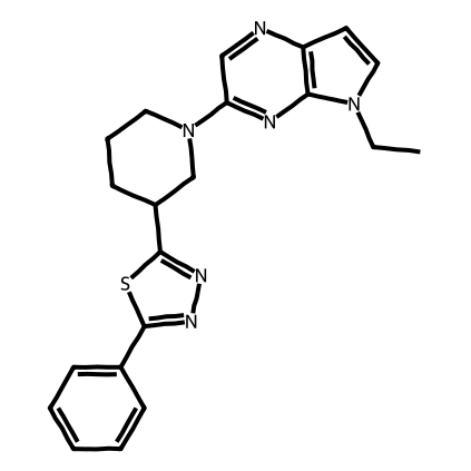 CCn1ccc2ncc(N3CCCC(c4nnc(-c5ccccc5)s4)C3)nc21